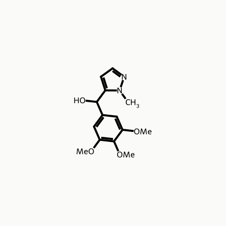 COc1cc(C(O)c2ccnn2C)cc(OC)c1OC